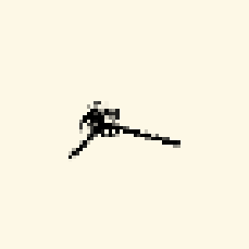 CCCCCCCCCCCCCCCCCCCCCCCC(=O)NC(=O)NC(CO[C@H]1O[C@H](CO)[C@H](O)[C@H](O)[C@H]1O)C(O)C(O)CCCCCCCCCCCCCC